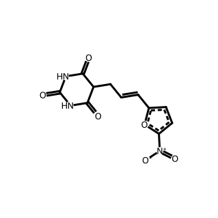 O=C1NC(=O)C(C/C=C/c2ccc([N+](=O)[O-])o2)C(=O)N1